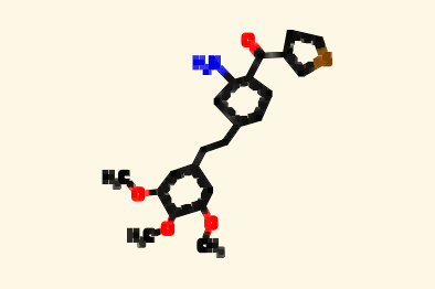 COc1cc(CCc2ccc(C(=O)c3ccsc3)c(N)c2)cc(OC)c1OC